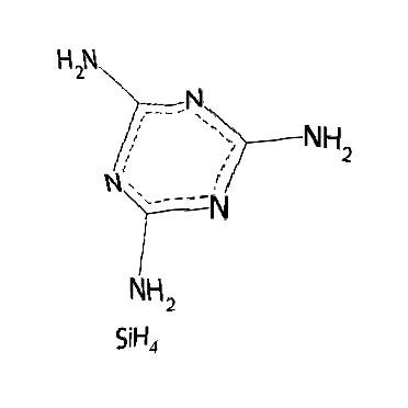 Nc1nc(N)nc(N)n1.[SiH4]